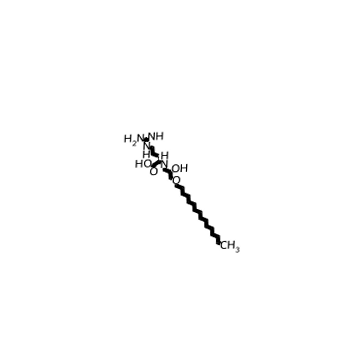 CCCCCCCCCCCCCCCCOCC(O)CN[C@@H](CCCNC(=N)N)C(=O)O